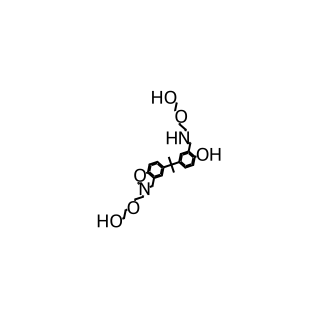 CC(C)(c1ccc(O)c(CNCCOCCO)c1)c1ccc2c(c1)CN(CCOCCO)CO2